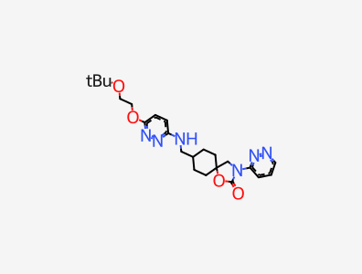 CC(C)(C)OCCOc1ccc(NCC2CCC3(CC2)CN(c2cccnn2)C(=O)O3)nn1